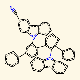 N#Cc1ccc2c(c1)c1ccccc1n2-c1cc(-c2ccccc2)ccc1-c1cccc(-c2ccccc2)c1-n1c2ccccc2c2ccccc21